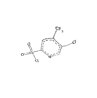 O=S(=O)(Cl)c1cc(C(F)(F)F)c(Cl)cn1